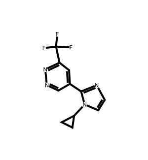 FC(F)(F)c1cc(-c2nccn2C2CC2)cnn1